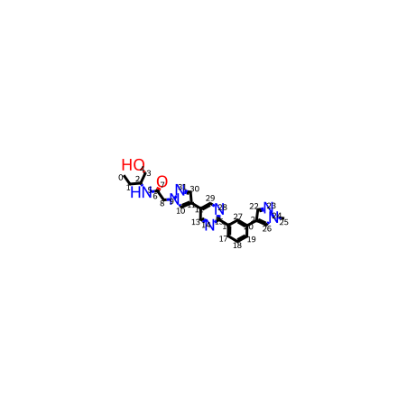 CCC(CO)NC(=O)Cn1cc(-c2cnc(-c3cccc(-c4cnn(C)c4)c3)nc2)cn1